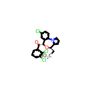 O=C(O)C[C@H]1O[C@H](C(=O)c2cccc(Cl)c2Cl)c2cc(Cl)ccc2-n2cccc21